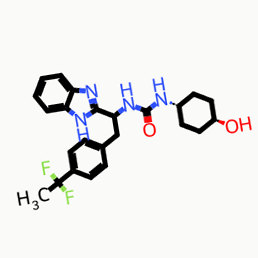 CC(F)(F)c1ccc(CC(NC(=O)N[C@H]2CC[C@H](O)CC2)c2nc3ccccc3[nH]2)cc1